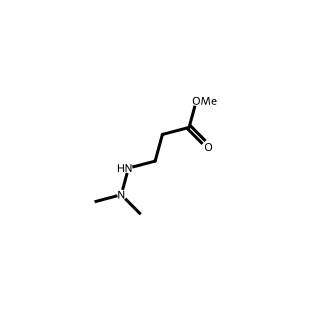 COC(=O)CCNN(C)C